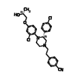 C[C@@H](O)COc1ccc(N2CCN(CCc3ccc(C#N)cc3)C[C@H]2c2ccc(Cl)cc2)c(Cl)c1